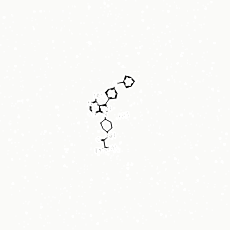 CC(C)[C@H](N)C(=O)NC1CCC(n2nc(-c3ccc(Oc4ccccc4)cc3)c3c(N)ncnc32)CC1.Cl